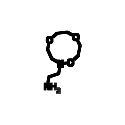 NCCN1CCOCCOCCO1